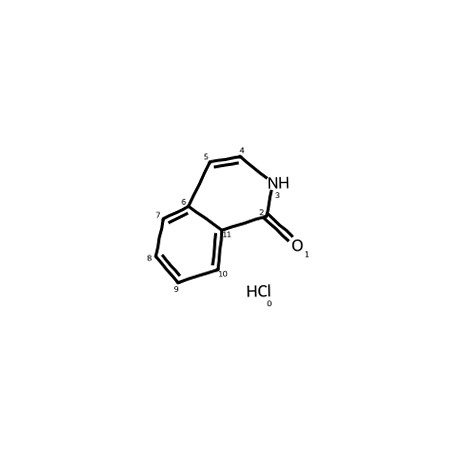 Cl.O=c1[nH]ccc2ccccc12